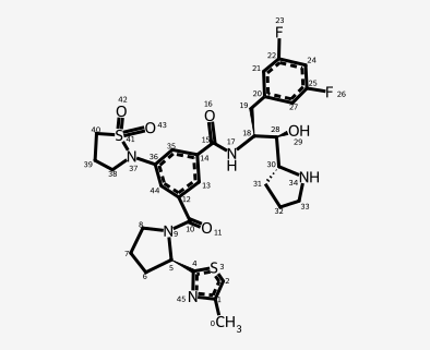 Cc1csc([C@H]2CCCN2C(=O)c2cc(C(=O)N[C@@H](Cc3cc(F)cc(F)c3)[C@@H](O)[C@H]3CCCN3)cc(N3CCCS3(=O)=O)c2)n1